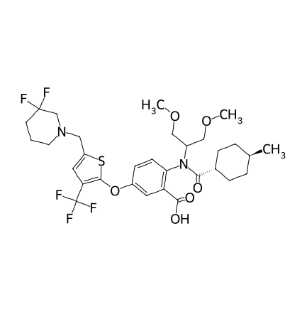 COCC(COC)N(c1ccc(Oc2sc(CN3CCCC(F)(F)C3)cc2C(F)(F)F)cc1C(=O)O)C(=O)[C@H]1CC[C@H](C)CC1